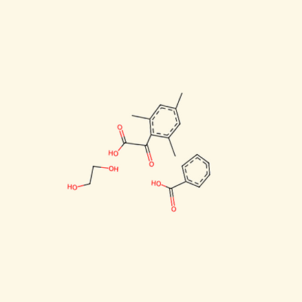 Cc1cc(C)c(C(=O)C(=O)O)c(C)c1.O=C(O)c1ccccc1.OCCO